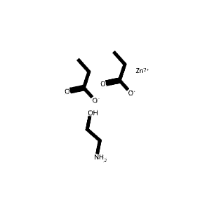 CCC(=O)[O-].CCC(=O)[O-].NCCO.[Zn+2]